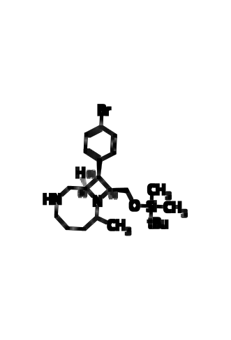 CC1CCCNC[C@H]2[C@@H](c3ccc(Br)cc3)[C@@H](CO[Si](C)(C)C(C)(C)C)N12